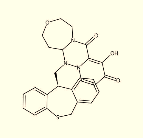 O=C1c2c(O)c(=O)ccn2N(C[C@H]2c3ccccc3CSc3ccccc32)C2CCOCCN12